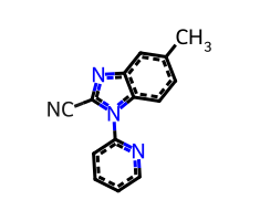 Cc1ccc2c(c1)nc(C#N)n2-c1ccccn1